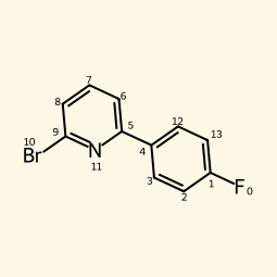 Fc1ccc(-c2cccc(Br)n2)cc1